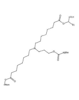 CCCCCCCCCOC(=O)CCCCCCCN(CCCCCCCC(=O)OC(CC)CCCCCCCC)CCCOC(=O)NC